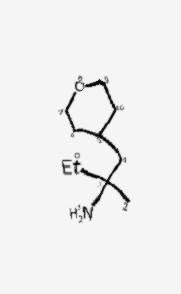 CCC(C)(N)CC1CCOCC1